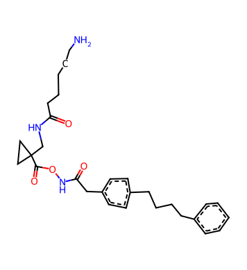 NCCCCCC(=O)NCC1(C(=O)ONC(=O)Cc2ccc(CCCCc3ccccc3)cc2)CC1